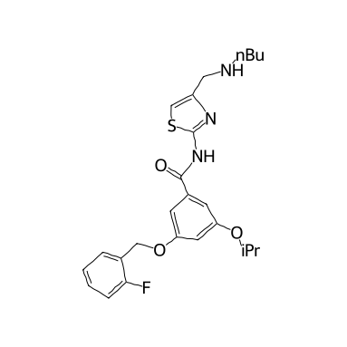 CCCCNCc1csc(NC(=O)c2cc(OCc3ccccc3F)cc(OC(C)C)c2)n1